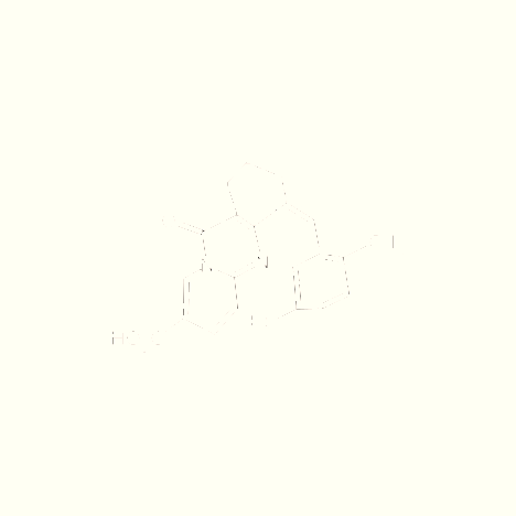 Cc1ccc(C)c(/C=C2/CCCc3c2nc2ccc(C(=O)O)cn2c3=O)c1